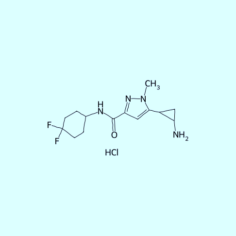 Cl.Cn1nc(C(=O)NC2CCC(F)(F)CC2)cc1C1CC1N